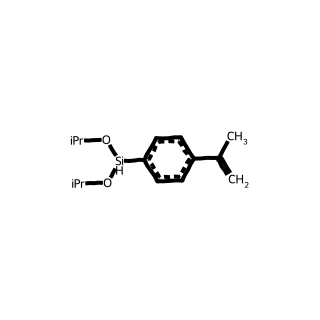 C=C(C)c1ccc([SiH](OC(C)C)OC(C)C)cc1